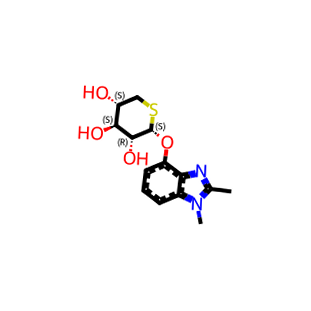 Cc1nc2c(O[C@H]3SC[C@@H](O)[C@H](O)[C@H]3O)cccc2n1C